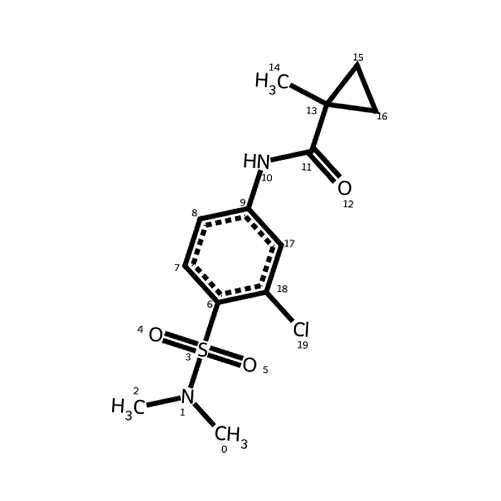 CN(C)S(=O)(=O)c1ccc(NC(=O)C2(C)CC2)cc1Cl